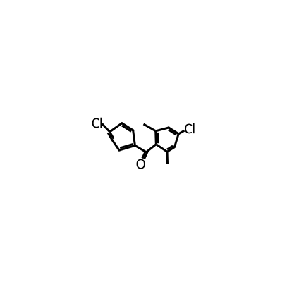 Cc1cc(Cl)cc(C)c1C(=O)c1ccc(Cl)cc1